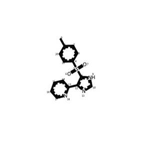 Cc1ccc(S(=O)(=O)c2[nH]cnc2-c2ccccn2)cc1